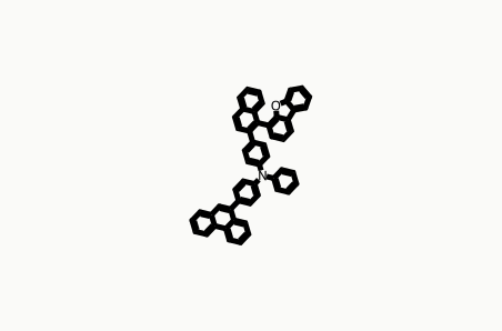 c1ccc(N(c2ccc(-c3ccc4ccccc4c3-c3cccc4c3oc3ccccc34)cc2)c2ccc(-c3cc4ccccc4c4ccccc34)cc2)cc1